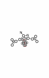 N#Cc1cc(C#N)c(-n2c3ccc(-c4ccc5c(c4)c4ccccc4n5-c4ccccc4)cc3c3c4oc5ccccc5c4ccc32)c(-n2c3ccc(-c4ccc5c(c4)c4ccccc4n5-c4ccccc4)cc3c3c4oc5ccccc5c4ccc32)c1